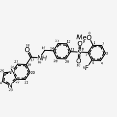 COc1cccc(F)c1S(=O)(=O)c1ccc(CNC(=O)c2ccc3nccn3c2)cc1